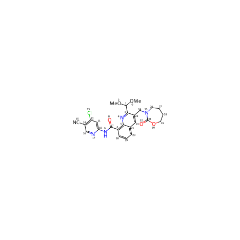 COC(OC)c1nc2c(C(=O)Nc3cc(Cl)c(C#N)cn3)cccc2cc1CN1CCCCOC1=O